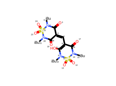 CCC(C)N1C(=O)C(=CC2=C(O)N(C(C)CC)S(=O)(=O)N(C(C)CC)C2=O)C(=O)N(C(C)CC)S1(=O)=O